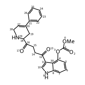 COC(=O)Oc1cccc2[nH]cc(C(=O)CCC(=O)C3CC(c4ccccc4)=CCN3)c12